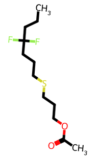 CCCC(F)(F)CCCSCCCOC(C)=O